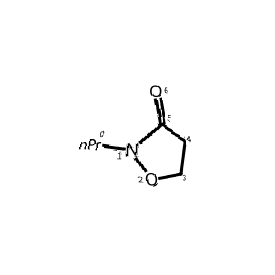 CCCN1OC[CH]C1=O